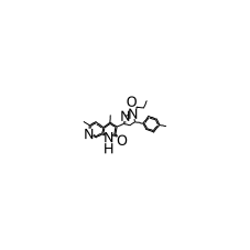 CCC(=O)N1N=C(c2c(C)c3cc(C)ncc3[nH]c2=O)CC1c1ccc(C)cc1